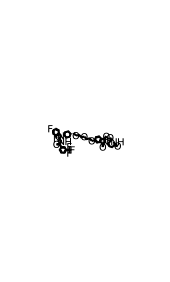 O=C1CCC(N2C(=O)c3ccc(OCCOCCOC[C@H]4CC[C@@H](n5c(NC(=O)c6cccc(C(F)(F)F)c6)nc6cc(F)ccc65)CC4)cc3C2=O)C(=O)N1